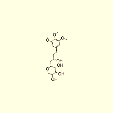 COc1cc(CC[C@H](O)C[C@H]2OCC(O)C(O)[C@H]2O)cc(OC)c1OC